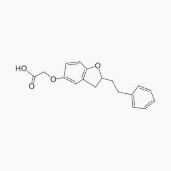 O=C(O)COc1ccc2c(c1)CC(CCc1ccccc1)O2